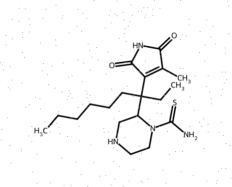 CCCCCCC(CC)(C1=C(C)C(=O)NC1=O)C1CNCCN1C(N)=S